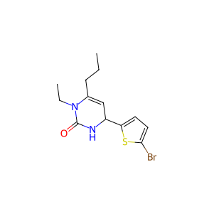 CCCC1=CC(c2ccc(Br)s2)NC(=O)N1CC